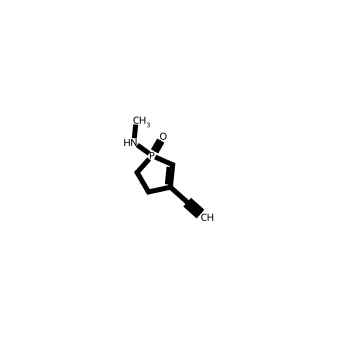 C#CC1=CP(=O)(NC)CC1